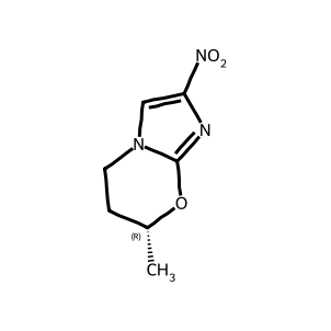 C[C@@H]1CCn2cc([N+](=O)[O-])nc2O1